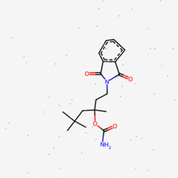 CC(C)(C)CC(C)(CCN1C(=O)c2ccccc2C1=O)OC(N)=O